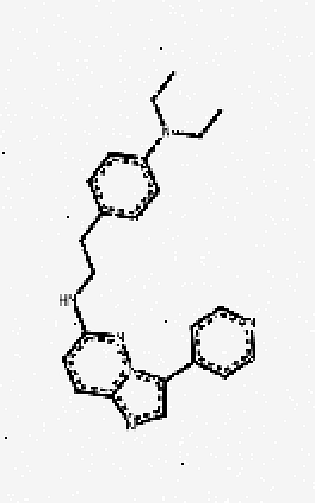 CCN(CC)c1ccc(CCNc2ccc3ncc(-c4ccncc4)n3n2)cc1